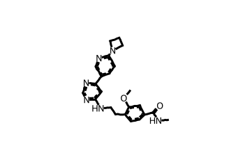 CNC(=O)c1ccc(CCNc2cc(-c3ccc(N4CCC4)nc3)ncn2)c(OC)c1